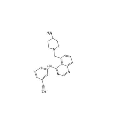 C#Cc1cccc(Nc2ncnc3cccc(CN4CCC(N)CC4)c23)c1